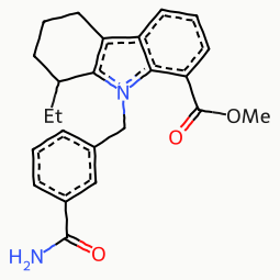 CCC1CCCc2c1n(Cc1cccc(C(N)=O)c1)c1c(C(=O)OC)cccc21